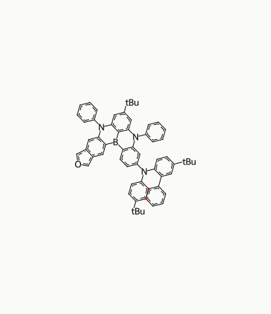 CC(C)(C)c1ccc(N(c2ccc3c(c2)N(c2ccccc2)c2cc(C(C)(C)C)cc4c2B3c2cc3cocc3cc2N4c2ccccc2)c2ccc(C(C)(C)C)cc2-c2ccccc2)cc1